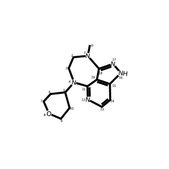 CN1CCN(C2CCOCC2)c2nccc3[nH]nc1c23